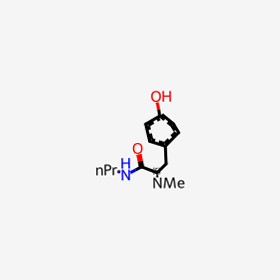 CCCNC(=O)[C@H](Cc1ccc(O)cc1)NC